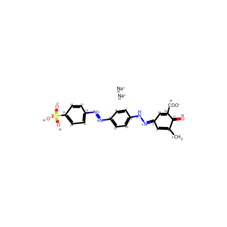 CC1=C/C(=N/Nc2ccc(N=Nc3ccc(S(=O)(=O)[O-])cc3)cc2)C=C(C(=O)[O-])C1=O.[Na+].[Na+]